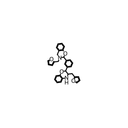 c1cc(C2Oc3ccccc3NC2Cc2ccco2)cc(C2Oc3ccccc3CN2Cc2ccco2)c1